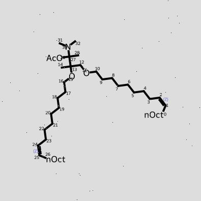 CCCCCCCC/C=C\CCCCCCCCOCC(C)(OCCCCCCCC/C=C\CCCCCCCC)C(C)(OC(C)=O)N(C)C